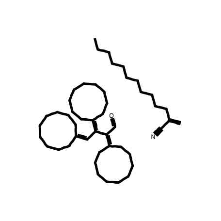 C=C(C#N)CCCCCCCCCCC.O=CC(=C1CCCCCCCCC1)C(C=C1CCCCCCCCC1)=C1CCCCCCCCC1